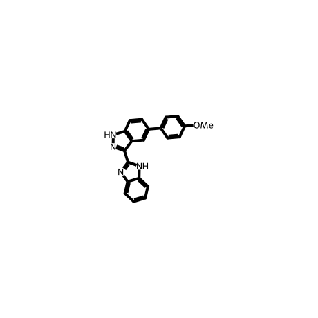 COc1ccc(-c2ccc3[nH]nc(-c4nc5ccccc5[nH]4)c3c2)cc1